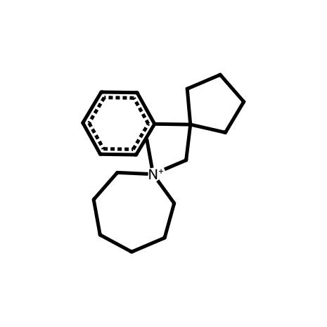 C[N+]1(CC2(c3ccccc3)CCCC2)CCCCCC1